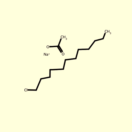 CC(=O)[O-].CCCCCCCCCCCCCl.[Na+]